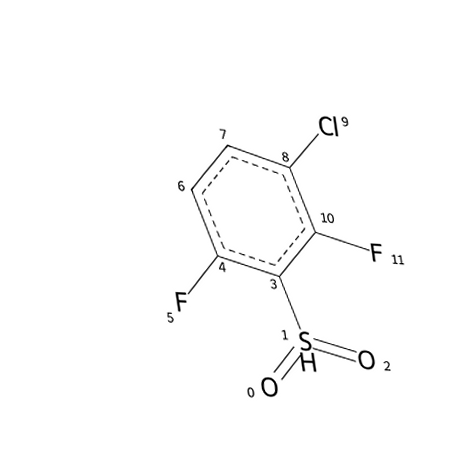 O=[SH](=O)c1c(F)ccc(Cl)c1F